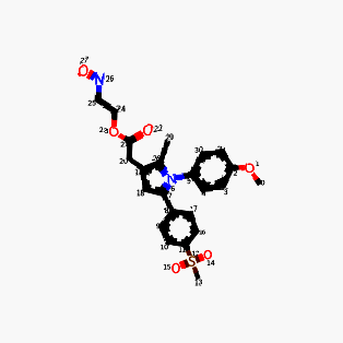 COc1ccc(-n2c(-c3ccc(S(C)(=O)=O)cc3)cc(CC(=O)OCCN=O)c2C)cc1